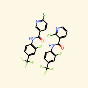 O=C(Nc1ccc(C(F)(F)F)cc1F)c1ccc(Cl)nc1.O=C(Nc1ccc(C(F)(F)F)cc1F)c1cccnc1Cl